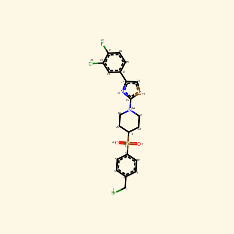 O=S(=O)(c1ccc(CBr)cc1)C1CCN(c2nc(-c3ccc(F)c(Cl)c3)cs2)CC1